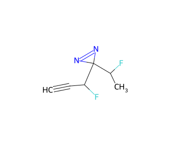 C#CC(F)C1(C(C)F)N=N1